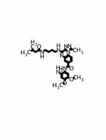 COc1cc(N)c(NC(=O)c2ccc3c(c2)nc(NCCCCNC(=O)CC(C)C)c2nnc(C)n23)cc1OC